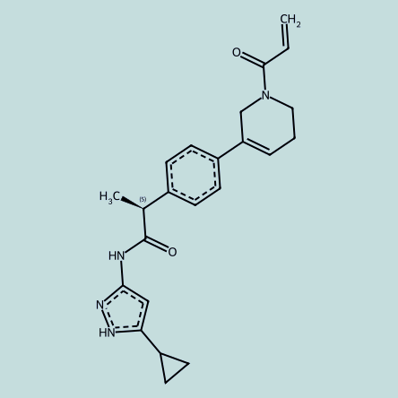 C=CC(=O)N1CCC=C(c2ccc([C@H](C)C(=O)Nc3cc(C4CC4)[nH]n3)cc2)C1